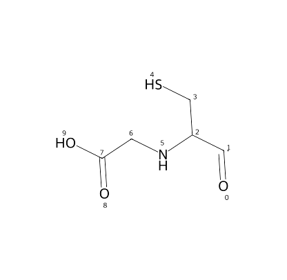 O=[C]C(CS)NCC(=O)O